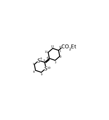 CCOC(=O)C1CCC(=C2SCCCS2)CC1